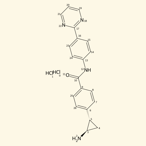 Cl.Cl.N[C@@H]1C[C@H]1c1ccc(C(=O)Nc2ccc(-c3ncccn3)cc2)cc1